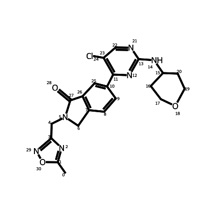 Cc1nc(CN2Cc3ccc(-c4nc(NC5CCOCC5)ncc4Cl)cc3C2=O)no1